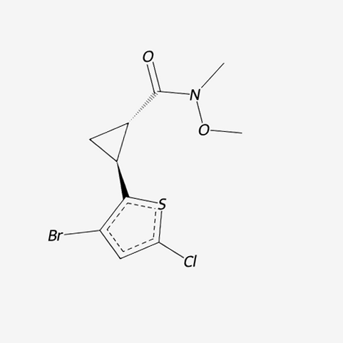 CON(C)C(=O)[C@H]1C[C@@H]1c1sc(Cl)cc1Br